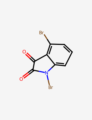 O=C1C(=O)N(Br)c2cccc(Br)c21